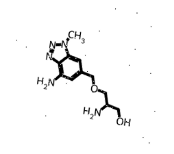 Cn1nnc2c(N)cc(COCC(N)CO)cc21